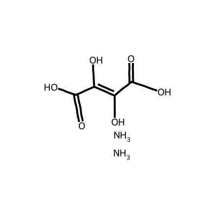 N.N.O=C(O)C(O)=C(O)C(=O)O